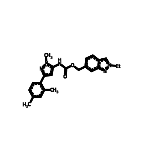 CCn1cc2ccc(COC(=O)Nc3cc(-c4ccc(C)cc4C)nn3C)cc2n1